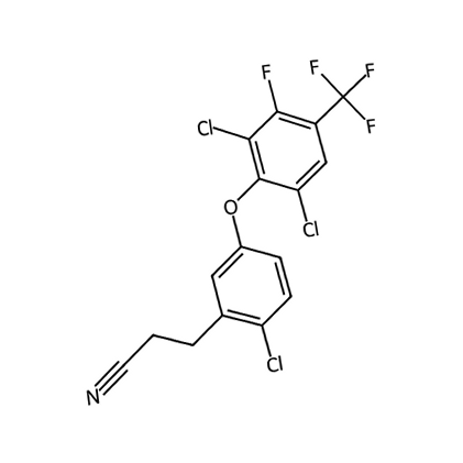 N#CCCc1cc(Oc2c(Cl)cc(C(F)(F)F)c(F)c2Cl)ccc1Cl